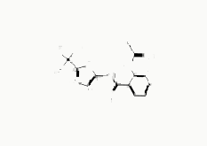 CC(=O)Oc1ccccc1C(=O)Nc1cnc(C(F)(F)F)o1